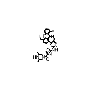 CC1CN(C(=O)c2coc(Nc3ncc4c(n3)-c3ccc(CI)cc3C(c3c(F)cccc3F)=NC4)n2)CC(C)N1